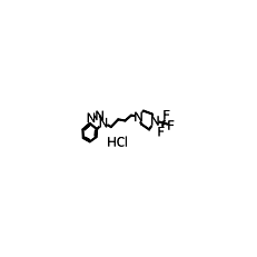 Cl.FC(F)(F)N1CCN(CCCCn2nnc3ccccc32)CC1